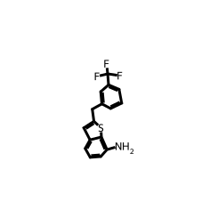 Nc1cccc2cc(Cc3cccc(C(F)(F)F)c3)sc12